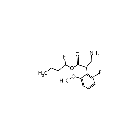 CCCC(F)OC(=O)C(CN)c1c(F)cccc1OC